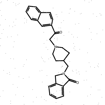 O=C(CN1CCC(CN2Cc3ccccc3C2=O)CC1)c1ccc2ccccc2c1